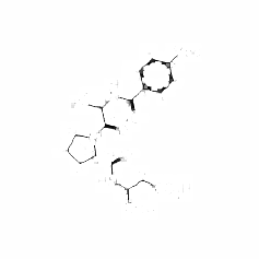 CC(C)C(NC(=O)c1ccc(C(C)(C)C)cc1)C(=O)N1CCC[C@H]1C(=O)NC(C=O)CC(=O)O